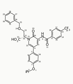 CC(C)Oc1ccc(-c2cc(NC(=O)c3ccc(C(F)(F)F)cc3)c(=O)n([C@@H](COCc3ccccc3)C(=O)O)c2)cc1